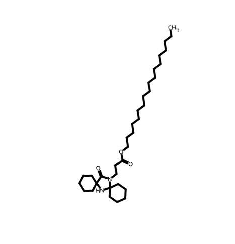 CCCCCCCCCCCCCCCCCCOC(=O)CCN1C(=O)C2(CCCCC2)NC12CCCCC2